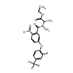 CCOC(=O)C(C)N(C)C(=O)c1cc(Oc2ccc(C(F)(F)F)cc2F)ccc1[N+](=O)[O-]